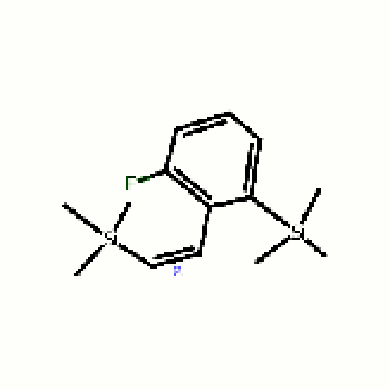 C[Si](C)(C)/C=C\c1c(F)cccc1[Si](C)(C)C